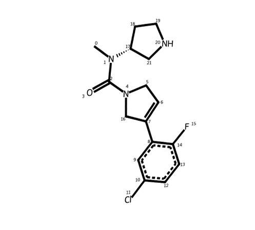 CN(C(=O)N1CC=C(c2cc(Cl)ccc2F)C1)[C@@H]1CCNC1